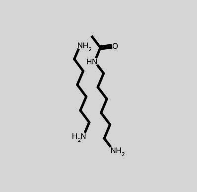 CC(=O)NCCCCCCN.NCCCCCCN